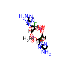 B[P@@]1(=O)OC[C@H]2O[C@@H](n3cnc4c(N)ncnc43)[C@H](F)[C@@H]2OP(=O)(O)OC[C@H]2O[C@@H](n3cnc4c(N)ccnc43)[C@H](O1)[C@@H]2F